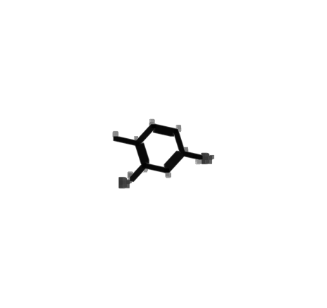 Cc1[c]cc(Br)cc1Br